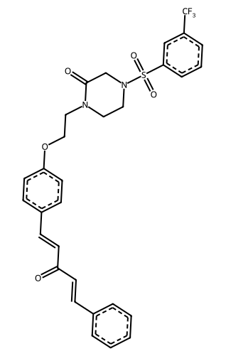 O=C(C=Cc1ccccc1)C=Cc1ccc(OCCN2CCN(S(=O)(=O)c3cccc(C(F)(F)F)c3)CC2=O)cc1